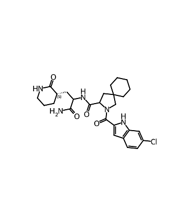 NC(=O)C(C[C@@H]1CCCNC1=O)NC(=O)C1CC2(CCCCC2)CN1C(=O)c1cc2ccc(Cl)cc2[nH]1